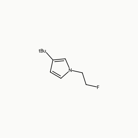 CC(C)(C)c1ccn(CCF)c1